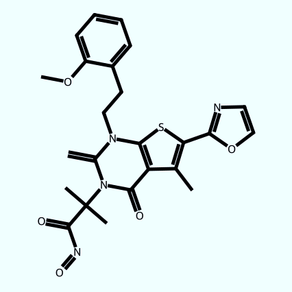 C=C1N(CCc2ccccc2OC)c2sc(-c3ncco3)c(C)c2C(=O)N1C(C)(C)C(=O)N=O